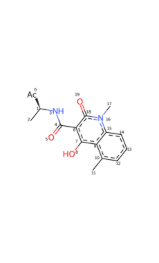 CC(=O)[C@H](C)NC(=O)c1c(O)c2c(C)cccc2n(C)c1=O